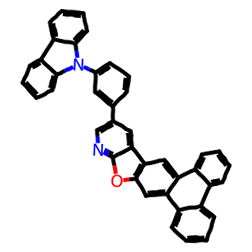 c1cc(-c2cnc3oc4cc5c6ccccc6c6ccccc6c5cc4c3c2)cc(-n2c3ccccc3c3ccccc32)c1